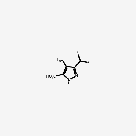 O=C(O)c1[nH]nc(C(F)F)c1C(F)(F)F